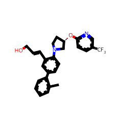 Cc1ccccc1-c1ccc(N2CC[C@H](Oc3ccc(C(F)(F)F)cn3)C2)c(/C=C/CO)c1